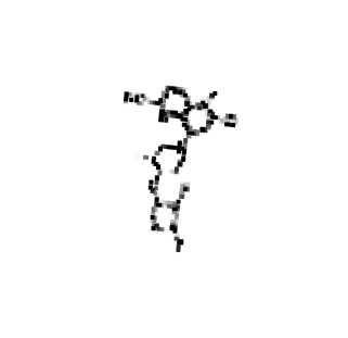 C[C@@H]1CN(c2cc(=O)n(C)c3ccc(C#N)nc23)CC[C@H]1Oc1ccc(F)cc1F